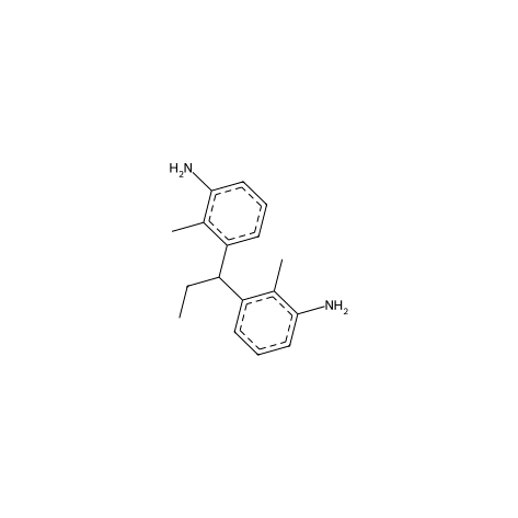 CCC(c1cccc(N)c1C)c1cccc(N)c1C